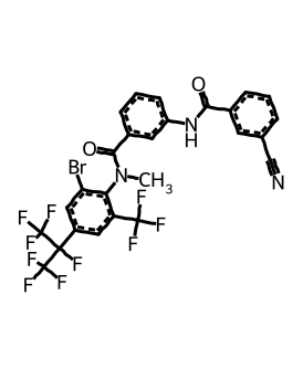 CN(C(=O)c1cccc(NC(=O)c2cccc(C#N)c2)c1)c1c(Br)cc(C(F)(C(F)(F)F)C(F)(F)F)cc1C(F)(F)F